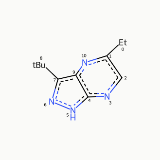 CCc1cnc2[nH]nc(C(C)(C)C)c2n1